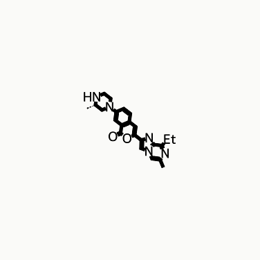 CCc1nc(C)cn2cc(-c3cc4ccc(N5CCN[C@@H](C)C5)cc4c(=O)o3)nc12